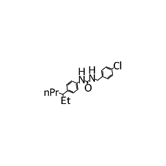 CCCC(CC)c1ccc(NC(=O)NCc2ccc(Cl)cc2)cc1